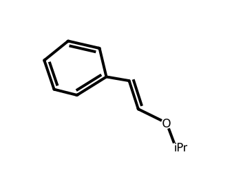 CC(C)OC=Cc1ccccc1